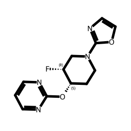 F[C@@H]1CN(c2ncco2)CC[C@@H]1Oc1ncccn1